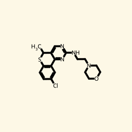 CC1Sc2ccc(Cl)cc2-c2nc(NCCN3CCOCC3)ncc21